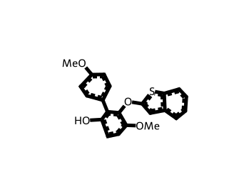 COc1ccc(-c2c(O)ccc(OC)c2Oc2cc3ccccc3s2)cc1